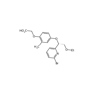 CCOC[C@@H](Oc1ccc(OCC(=O)O)c(C)c1)c1cccc(Br)n1